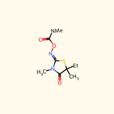 CCC1(C)SC(=NOC(=O)NC)N(C)C1=O